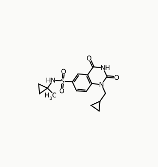 CC1(NS(=O)(=O)c2ccc3c(c2)c(=O)[nH]c(=O)n3CC2CC2)CC1